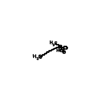 CCCCCCCCCCCCCCCCC(CCC)OC(=O)C1CCCCC1C(=O)O